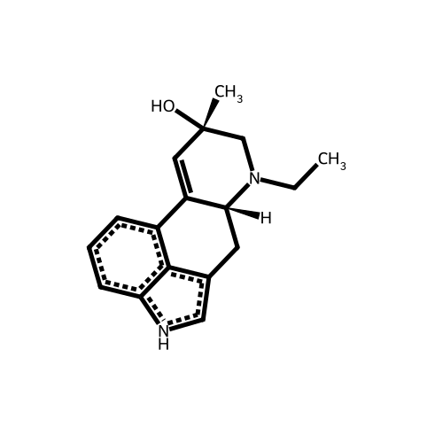 CCN1C[C@@](C)(O)C=C2c3cccc4[nH]cc(c34)C[C@H]21